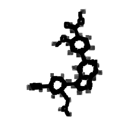 COCc1cc(C#N)ccc1-c1cnc2cnc(-c3ccc(C(=O)OC)c(OC)c3)cn12